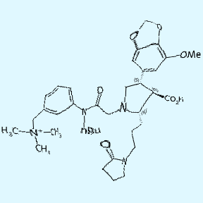 CCCCN(C(=O)CN1C[C@H](c2cc(OC)c3c(c2)OCO3)[C@@H](C(=O)O)[C@@H]1CCCN1CCCC1=O)c1cccc(C[N+](C)(C)C)c1